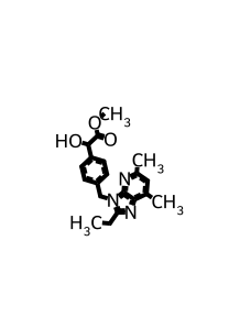 CCc1nc2c(C)cc(C)nc2n1Cc1ccc(C(O)C(=O)OC)cc1